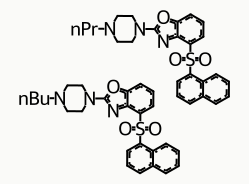 CCCCN1CCN(c2nc3c(S(=O)(=O)c4cccc5ccccc45)cccc3o2)CC1.CCCN1CCN(c2nc3c(S(=O)(=O)c4cccc5ccccc45)cccc3o2)CC1